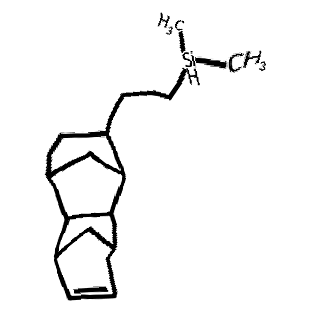 C[SiH](C)CCC1CC2CC1C1C3C=CC(C3)C21